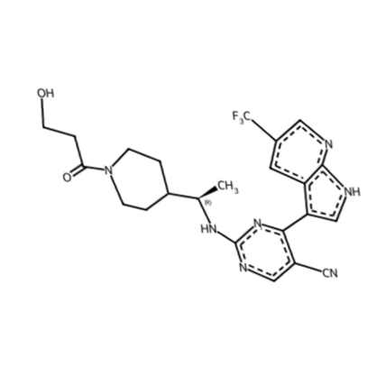 C[C@@H](Nc1ncc(C#N)c(-c2c[nH]c3ncc(C(F)(F)F)cc23)n1)C1CCN(C(=O)CCO)CC1